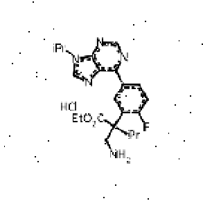 CCOC(=O)C(CN)(c1cc(-c2ncnc3c2ncn3C(C)C)ccc1F)C(C)C.Cl